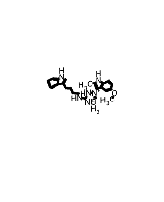 CC=[N+](NC(=N)NCCCCc1c[nH]c2ccccc12)c1c(C)[nH]c2ccc(OC)cc12